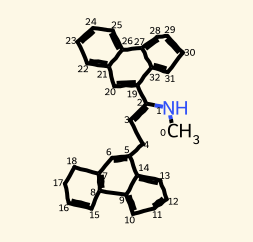 CN/C(=C\Cc1cc2c(c3ccccc13)C=CCC2)c1cc2ccccc2c2ccccc12